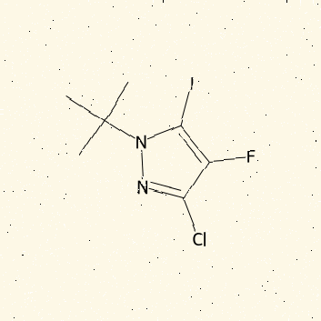 CC(C)(C)n1nc(Cl)c(F)c1I